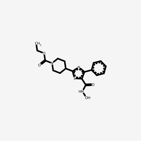 CCOC(=O)N1CCC(c2nc(-c3ccccc3)c(C(=O)NO)s2)CC1